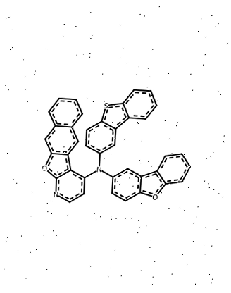 c1ccc2cc3c(cc2c1)oc1nccc(N(c2ccc4oc5ccccc5c4c2)c2ccc4sc5ccccc5c4c2)c13